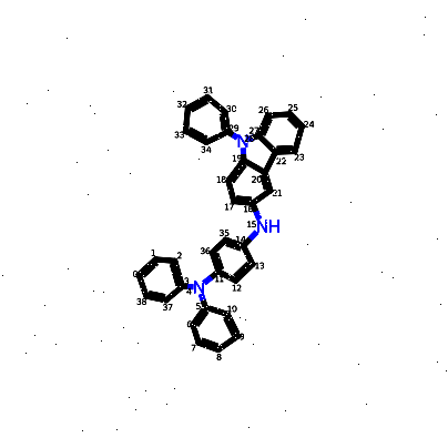 c1ccc(N(c2ccccc2)c2ccc(Nc3ccc4c(c3)c3ccccc3n4-c3ccccc3)cc2)cc1